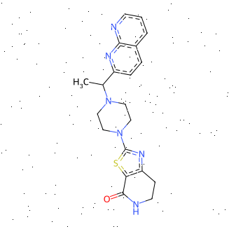 CC(c1ccc2cccnc2n1)N1CCN(c2nc3c(s2)C(=O)NCC3)CC1